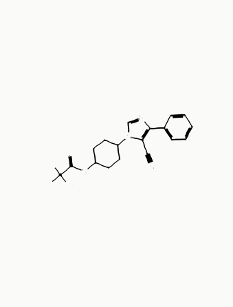 CC(C)(F)C(=O)NC1CCC(n2cnc(-c3ccccc3)c2C#N)CC1